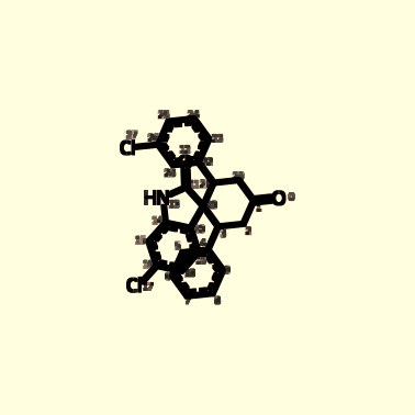 O=C1CC(c2ccccc2)C2(C(=O)Nc3cc(Cl)ccc32)C(c2cccc(Cl)c2)C1